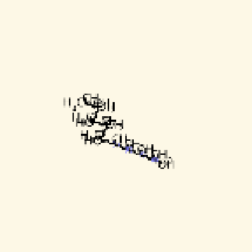 CC(C)=CCCC(C)(O)CCCC(C)(O)CCCC(C)(O)CCCC(C)(O)CCC/C(C)=C/CC/C(C)=C/CC/C(C)=C/CC/C(C)=C/CO